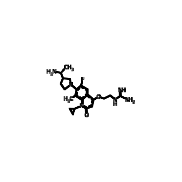 Cc1c(N2CCC([C@H](C)N)C2)c(F)cc2c(OCCNC(=N)N)cc(=O)n(C3CC3)c12